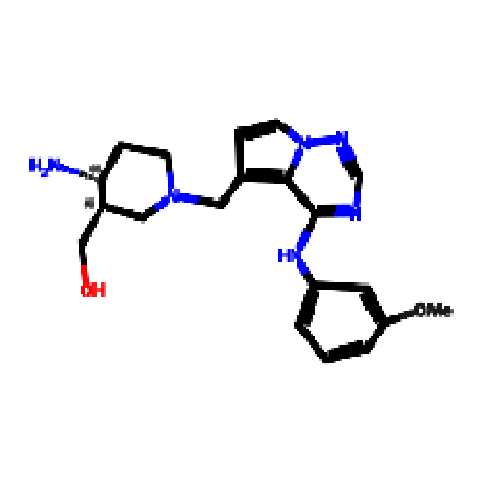 COc1cccc(Nc2ncnn3ccc(CN4CC[C@@H](N)[C@H](CO)C4)c23)c1